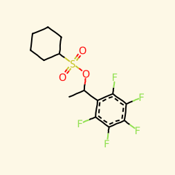 CC(OS(=O)(=O)C1CCCCC1)c1c(F)c(F)c(F)c(F)c1F